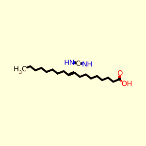 CCCCCCCCC=CCCCCCCCC(=O)O.N=C=N